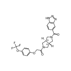 O=C(COc1ccc(OC(F)(F)F)cc1)N1C[C@H]2CN(C(=O)c3ccc4[nH]nnc4c3)C[C@@H]2C1